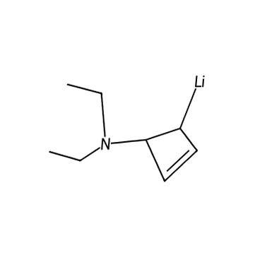 [Li][CH]1C=CC1N(CC)CC